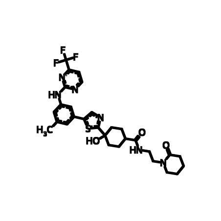 Cc1cc(Nc2nccc(C(F)(F)F)n2)cc(-c2cnc(C3(O)CCC(C(=O)NCCN4CCCCC4=O)CC3)s2)c1